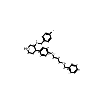 Fc1ccc(COC2CNCCC2c2ccc(OCCCOCc3ccccc3)cc2)cc1